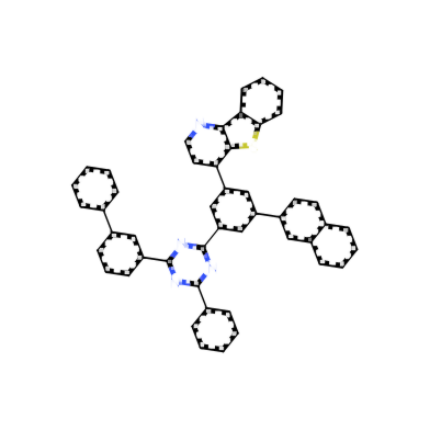 c1ccc(-c2cccc(-c3nc(-c4ccccc4)nc(-c4cc(-c5ccc6ccccc6c5)cc(-c5ccnc6c5sc5ccccc56)c4)n3)c2)cc1